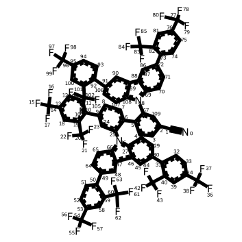 N#Cc1ccc(-c2ccc(-c3ccc(C(F)(F)F)cc3C(F)(F)F)cc2-n2c3ccc(-c4ccc(C(F)(F)F)cc4C(F)(F)F)cc3c3cc(-c4ccc(C(F)(F)F)cc4C(F)(F)F)ccc32)c(-n2c3ccc(-c4ccc(C(F)(F)F)cc4C(F)(F)F)cc3c3cc(-c4ccc(C(F)(F)F)cc4C(F)(F)F)ccc32)c1